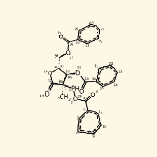 C[C@]1(POC(=O)c2ccccc2)C(=O)O[C@H](COC(=O)c2ccccc2)[C@H]1OC(=O)c1ccccc1